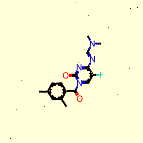 Cc1ccc(C(=O)n2cc(F)c(/N=C/N(C)C)nc2=O)c(C)c1